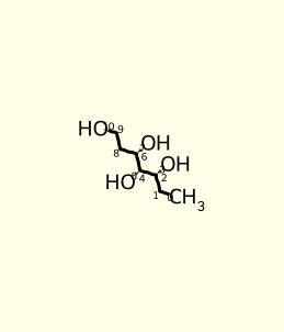 CC[C@@H](O)[C@H](O)[C@@H](O)CCO